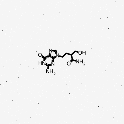 NC(=O)C(CO)CCn1cnc2c(=O)[nH]c(N)nc21